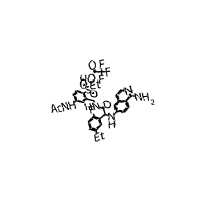 CCc1ccc(F)c(C(Nc2ccc3c(N)nccc3c2)C(=O)NCc2cc(NC(C)=O)ccc2S(=O)(=O)CC)c1.O=C(O)C(F)(F)F